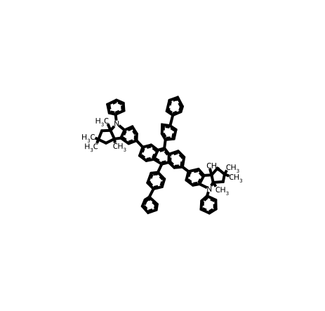 CC1(C)CC2(C)c3cc(-c4ccc5c(-c6ccc(-c7ccccc7)cc6)c6cc(-c7ccc8c(c7)C7(C)CC(C)(C)CC7(C)N8c7ccccc7)ccc6c(-c6ccc(-c7ccccc7)cc6)c5c4)ccc3N(c3ccccc3)C2(C)C1